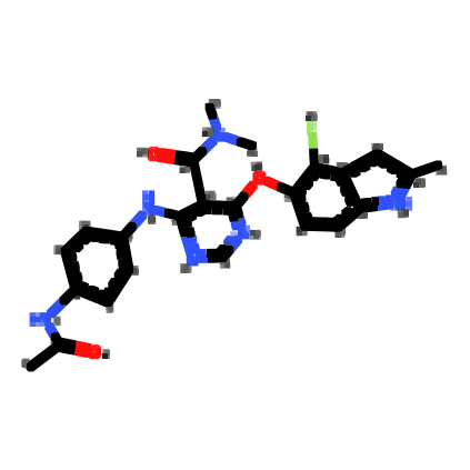 CC(=O)Nc1ccc(Nc2ncnc(Oc3ccc4[nH]c(C)cc4c3F)c2C(=O)N(C)C)cc1